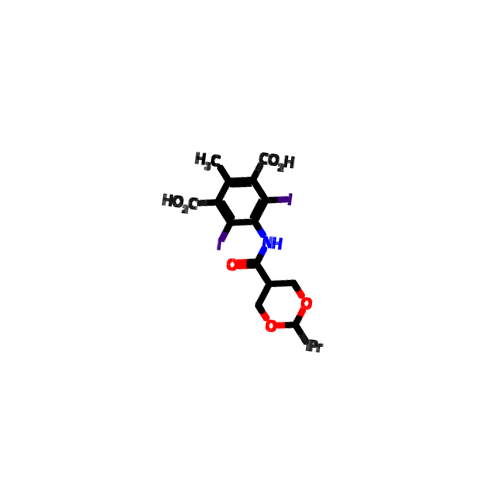 Cc1c(C(=O)O)c(I)c(NC(=O)C2COC(C(C)C)OC2)c(I)c1C(=O)O